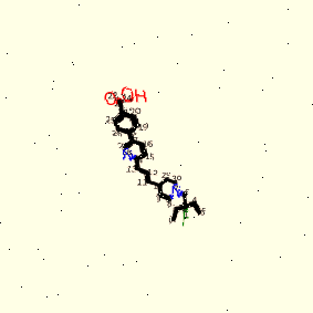 CCC(F)(CC)CN1CCC(CCCc2ccc(-c3ccc(C(=O)O)cc3)cn2)CC1